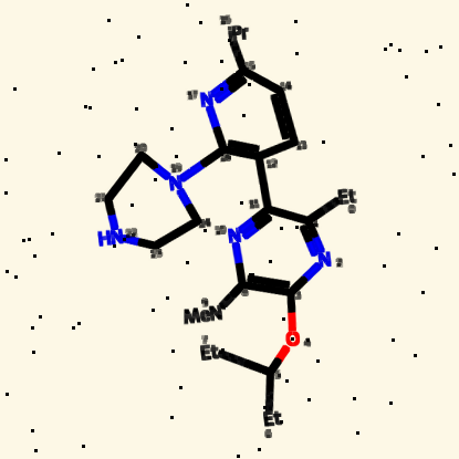 CCc1nc(OC(CC)CC)c(NC)nc1-c1ccc(C(C)C)nc1N1CCNCC1